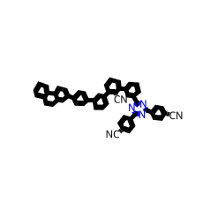 N#Cc1ccc(-c2nc(-c3ccc(C#N)cc3)nc(-c3cccc(-c4cccc(-c5cccc(-c6ccc(-c7ccc8c(ccc9ccccc98)c7)cc6)c5)c4C#N)c3)n2)cc1